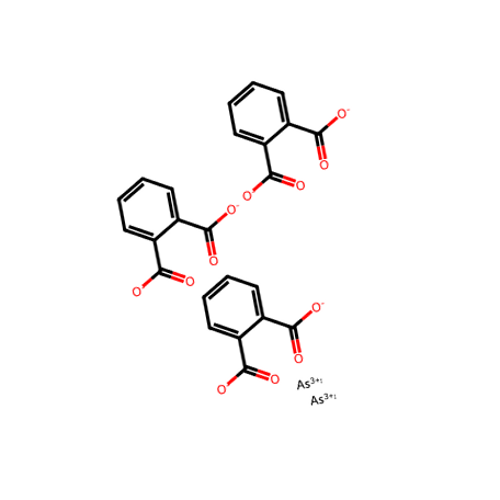 O=C([O-])c1ccccc1C(=O)[O-].O=C([O-])c1ccccc1C(=O)[O-].O=C([O-])c1ccccc1C(=O)[O-].[As+3].[As+3]